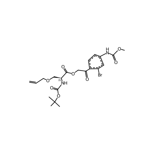 C=CCOC[C@H](NC(=O)OC(C)(C)C)C(=O)OCC(=O)c1ccc(NC(=O)OC)cc1Br